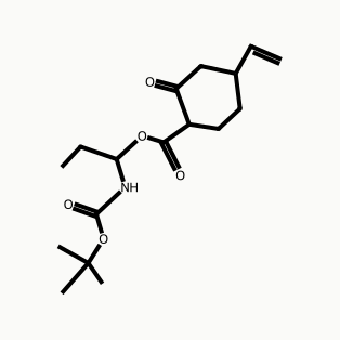 C=CC1CCC(C(=O)OC(CC)NC(=O)OC(C)(C)C)C(=O)C1